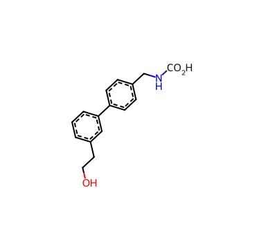 O=C(O)NCc1ccc(-c2cccc(CCO)c2)cc1